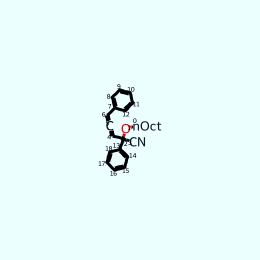 CCCCCCCCOC(C#N)(C=C=Cc1ccccc1)c1ccccc1